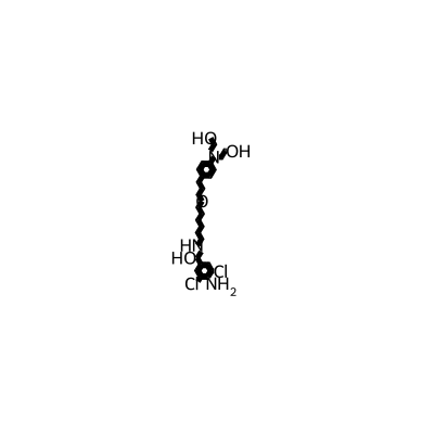 Nc1c(Cl)cc(C(O)CNCCCCCCOCCCc2ccc(N(CCO)CCO)cc2)cc1Cl